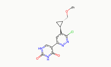 CC(C)OC[C@H]1C[C@@H]1c1cc(-c2c[nH]c(=O)[nH]c2=O)nnc1Cl